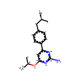 CC(=O)[C@@H](C)Cc1ccc(-c2cc(OC(C)C(F)(F)F)nc(N)n2)cc1